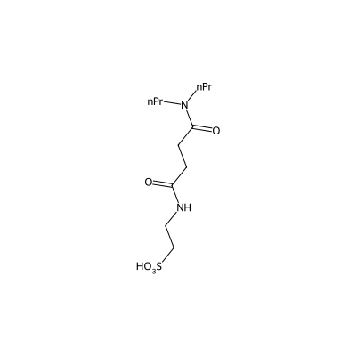 CCCN(CCC)C(=O)CCC(=O)NCCS(=O)(=O)O